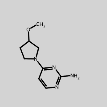 COC1CCN(c2ccnc(N)n2)C1